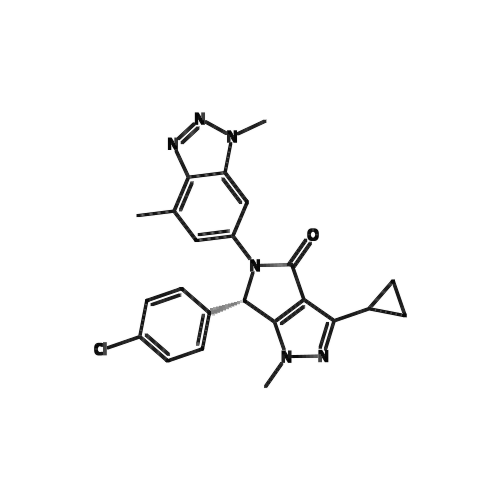 Cc1cc(N2C(=O)c3c(C4CC4)nn(C)c3[C@@H]2c2ccc(Cl)cc2)cc2c1nnn2C